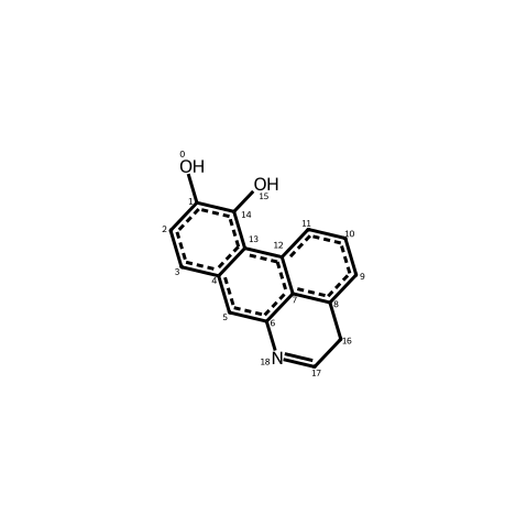 Oc1ccc2cc3c4c(cccc4c2c1O)CC=N3